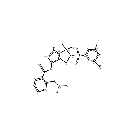 CN(C)Cc1ccccc1C(=O)Nc1n[nH]c2c1CN(S(=O)(=O)c1cc(F)cc(F)c1)C2(C)C